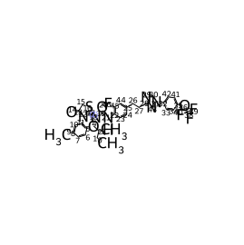 CCC(C)Oc1ccc(C)cc1N1C(=O)CS/C1=N\C(=O)Nc1ccc(CCc2ncn(-c3ccc(OC(F)(F)F)cc3)n2)cc1F